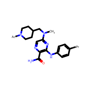 CC(=O)N1CCC(CN(C)c2cnc(C(N)=O)c(Nc3ccc(C(C)C)cc3)n2)CC1